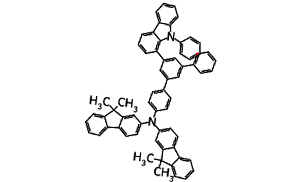 CC1(C)c2ccccc2-c2ccc(N(c3ccc(-c4cc(-c5ccccc5)cc(-c5cccc6c7ccccc7n(-c7ccccc7)c56)c4)cc3)c3ccc4c(c3)C(C)(C)c3ccccc3-4)cc21